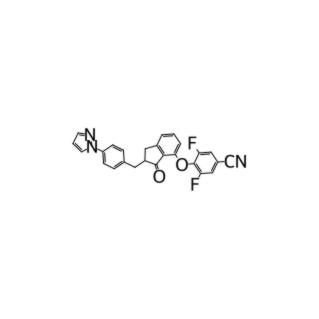 N#Cc1cc(F)c(Oc2cccc3c2C(=O)C(Cc2ccc(-n4cccn4)cc2)C3)c(F)c1